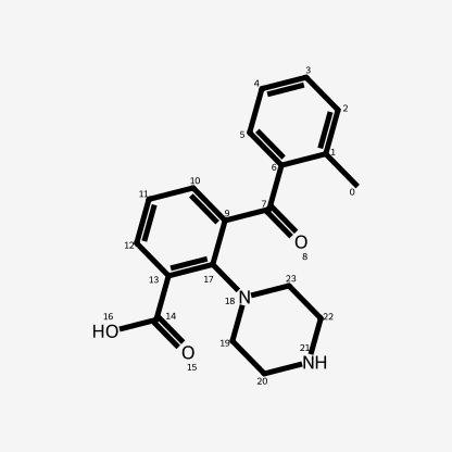 Cc1ccccc1C(=O)c1cccc(C(=O)O)c1N1CCNCC1